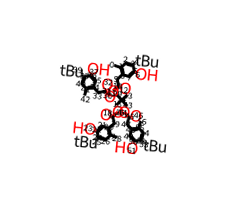 Cc1cc(C(C)(C)C)c(O)cc1CC(=O)OCC(COC(=O)Cc1cc(O)c(C(C)(C)C)cc1C)(COC(=O)Cc1cc(O)c(C(C)(C)C)cc1C)COC(=O)Cc1cc(O)c(C(C)(C)C)cc1C